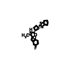 C[C@@H](NC(=O)[C@@H]1CCN(c2nc3ccccc3s2)C1)c1cc2cc(F)ccc2o1